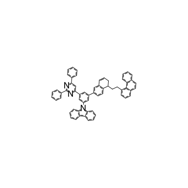 C1=Cc2cc(-c3cc(-c4cc(-c5ccccc5)nc(-c5ccccc5)n4)cc(-n4c5ccccc5c5ccccc54)c3)ccc2C(CCc2cccc3ccc4ccccc4c23)C1